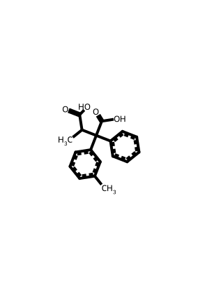 Cc1cccc(C(C(=O)O)(c2ccccc2)C(C)C(=O)O)c1